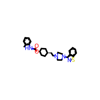 Cc1ccccc1NC(=O)O[C@H]1CC[C@H](CCN2CCN(c3nsc4ccccc34)CC2)CC1